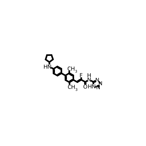 Cc1cc(-c2ccc(NC3CCCC3)cc2)c(C)cc1/C=C(\F)C(=O)Nc1nnn[nH]1